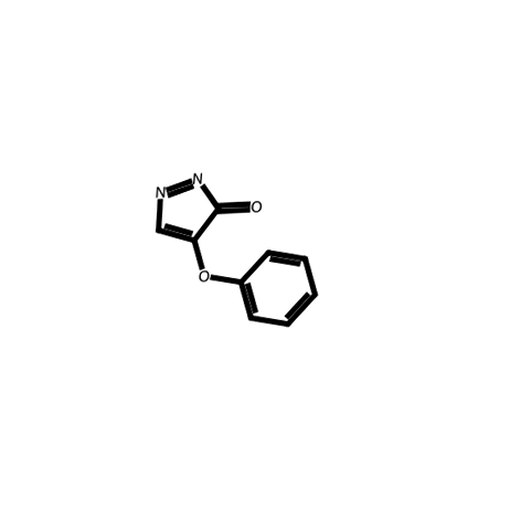 O=C1N=NC=C1Oc1ccccc1